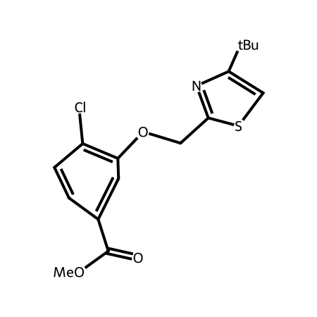 COC(=O)c1ccc(Cl)c(OCc2nc(C(C)(C)C)cs2)c1